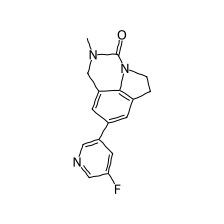 CN1Cc2cc(-c3cncc(F)c3)cc3c2N(CC3)C1=O